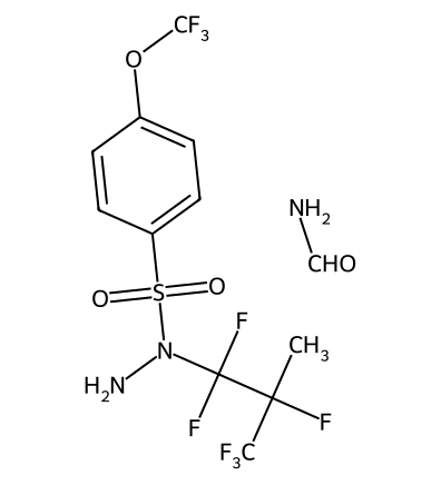 CC(F)(C(F)(F)F)C(F)(F)N(N)S(=O)(=O)c1ccc(OC(F)(F)F)cc1.NC=O